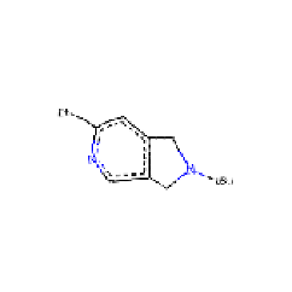 CCc1cc2c(cn1)CN(C(C)(C)C)C2